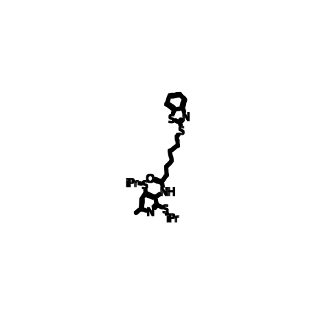 Cc1cc(SC(C)C)c(NC(=O)CCCCCCSc2nc3ccccc3s2)c(SC(C)C)n1